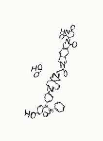 O=C1CCC(N2Cc3cc4c(cc3C2=O)CN(C(=O)CN2CC3(CCN(c5ccc([C@H]6c7ccc(O)cc7OC[C@H]6c6ccccc6)cc5)CC3)C2)C4)C(=O)N1.O=CO